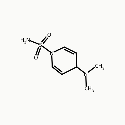 CN(C)C1C=CN(S(N)(=O)=O)C=C1